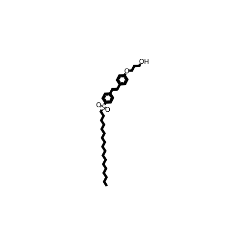 CCCCCCCCCCCCCCCCCCS(=O)(=O)c1ccc(C=Cc2ccc(OCCCO)cc2)cc1